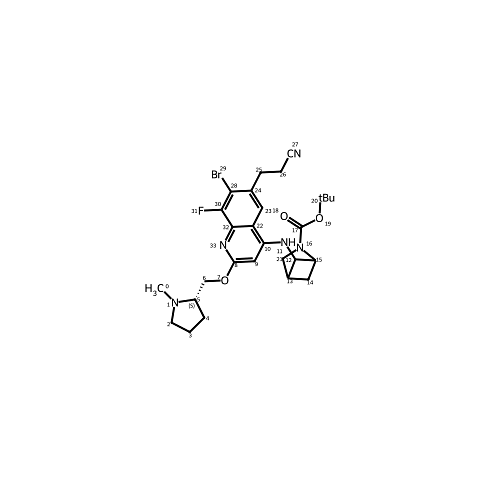 CN1CCC[C@H]1COc1cc(NC2C3CC2N(C(=O)OC(C)(C)C)C3)c2cc(CCC#N)c(Br)c(F)c2n1